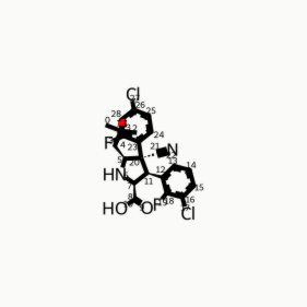 CC(C)(C)C[C@@H]1N[C@H](C(=O)O)[C@H](c2cccc(Cl)c2F)[C@]1(C#N)c1ccc(Cl)cc1F